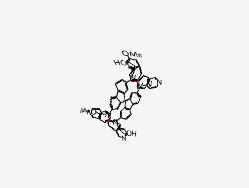 COc1ccc(N(c2ccncc2)c2ccc3c(c2)C2(c4cc(N(c5ccncc5)c5ccc(CO)cc5)ccc4-3)c3cc(N(c4ccncc4)c4ccc(CO)cc4)ccc3-c3ccc(N(c4ccncc4)c4ccc(OC)cc4)cc32)cc1